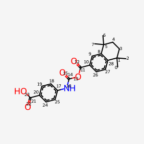 CC1(C)CCC(C)(C)c2cc(C(=O)OC(=O)Nc3ccc(C(=O)O)cc3)ccc21